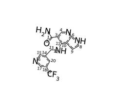 NC(=O)c1cnc2[nH]ccc2c1NCc1cncc(C(F)(F)F)c1